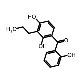 CCCc1c(O)ccc(C(=O)c2ccccc2O)c1O